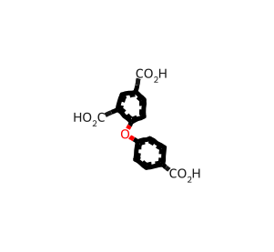 O=C(O)c1ccc(Oc2ccc(C(=O)O)cc2C(=O)O)cc1